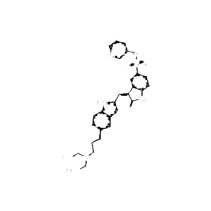 CCN(CC)CCCc1ccc2[nH]c(C=C3C(=O)Nc4ccc(S(=O)(=O)Nc5cccnc5)cc43)cc2c1